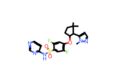 Cn1nccc1C1C(Oc2cc(F)c(S(=O)(=O)Nc3ccncn3)cc2F)CCC1(C)C